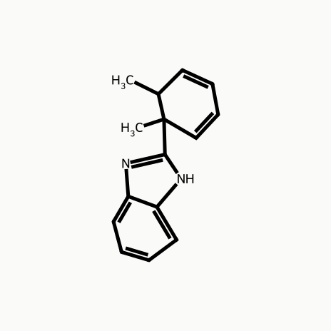 CC1C=CC=CC1(C)c1nc2ccccc2[nH]1